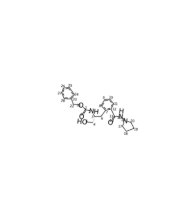 O=C(N[C@@H](CO)Cc1ccccc1C(=O)NN1CCCC1)OCc1ccccc1